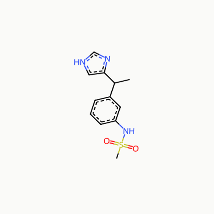 CC(c1cccc(NS(C)(=O)=O)c1)c1c[nH]cn1